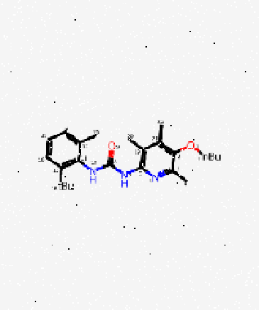 CCCCOc1c(C)nc(NC(=O)Nc2c(C)cccc2C(C)(C)C)c(C)c1C